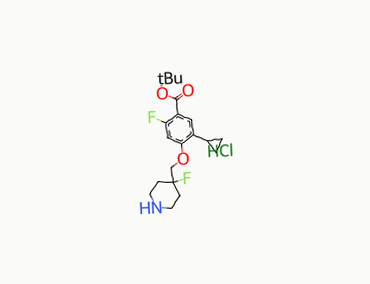 CC(C)(C)OC(=O)c1cc(C2CC2)c(OCC2(F)CCNCC2)cc1F.Cl